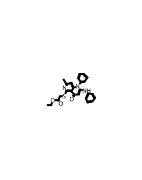 CCOC(=O)CSc1nc(C)cc2c1c(=O)cc(Nc1ccccc1)n2-c1ccccc1